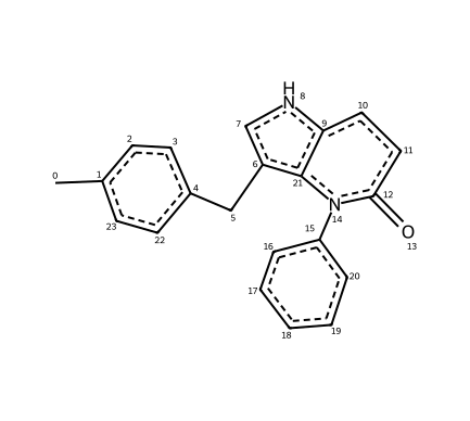 Cc1ccc(Cc2c[nH]c3ccc(=O)n(-c4ccccc4)c23)cc1